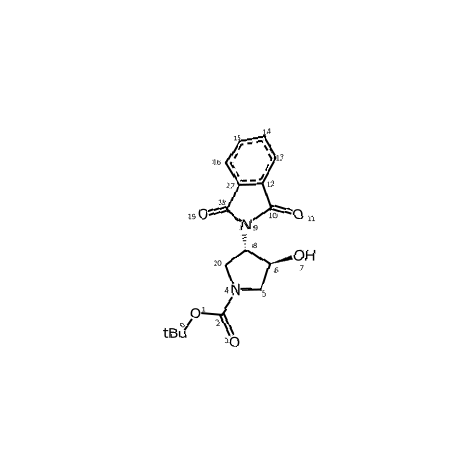 CC(C)(C)OC(=O)N1C[C@H](O)[C@@H](N2C(=O)c3ccccc3C2=O)C1